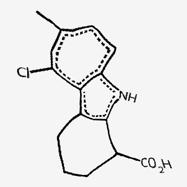 Cc1ccc2[nH]c3c(c2c1Cl)CCCC3C(=O)O